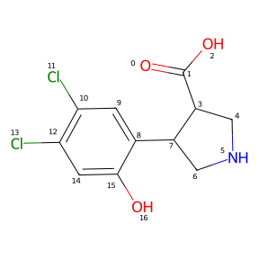 O=C(O)C1CNCC1c1cc(Cl)c(Cl)cc1O